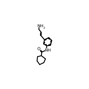 NCC=Cc1cccc(NC(=O)C2CCCCC2)c1